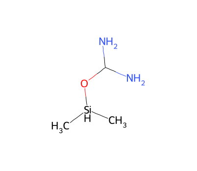 C[SiH](C)OC(N)N